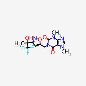 Cn1cnc2c1c(=O)n(Cc1cc(C(C)(O)C(F)(F)F)no1)c(=O)n2C